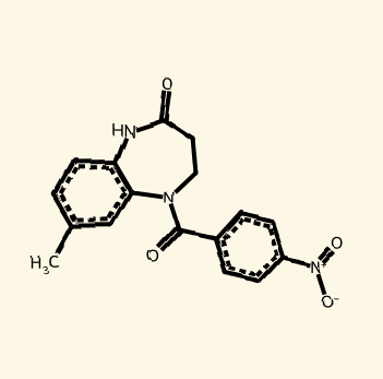 Cc1ccc2c(c1)N(C(=O)c1ccc([N+](=O)[O-])cc1)CCC(=O)N2